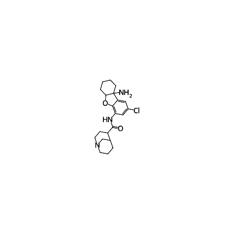 NC12CCCCC1Oc1c(NC(=O)C3CCN4CCCC3C4)cc(Cl)cc12